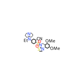 CCN(c1ccc(S(=O)(=O)N(Cc2ccc(OC)cc2OC)c2nccs2)c(C#N)c1)C12CCCN1CCC2